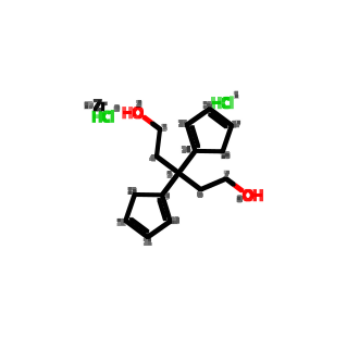 Cl.Cl.OCCC(CCO)(C1=CC=CC1)C1=CC=CC1.[Zr]